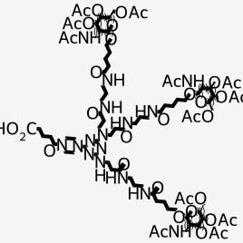 CC(=O)N[C@H]1[C@H](OCCCCC(=O)NCCCNC(=O)CCNc2nc(N(CCC(=O)NCCCNC(=O)CCCCO[C@@H]3O[C@H](COC(C)=O)[C@H](OC(C)=O)[C@H](OC(C)=O)[C@H]3NC(C)=O)CCC(=O)NCCCNC(=O)CCCCO[C@@H]3O[C@H](COC(C)=O)[C@H](OC(C)=O)[C@H](OC(C)=O)[C@H]3NC(C)=O)nc(N3CCN(C(=O)CCCC(=O)O)CC3)n2)O[C@H](COC(C)=O)[C@H](OC(C)=O)[C@@H]1OC(C)=O